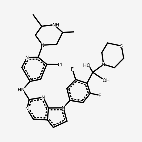 CC1CN(c2ncc(Nc3ncc4ccn(-c5cc(F)c(C(O)(O)N6CCSCC6)c(F)c5)c4n3)cc2Cl)CC(C)N1